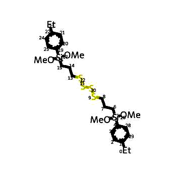 CCc1ccc([Si](CCCSSSSCCC[Si](OC)(OC)c2ccc(CC)cc2)(OC)OC)cc1